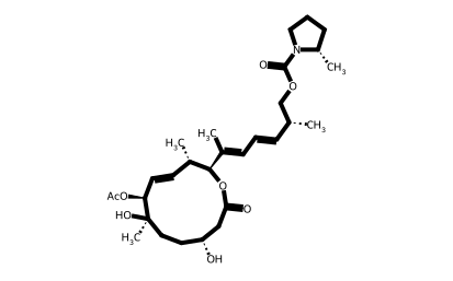 CC(=O)O[C@H]1/C=C/[C@H](C)[C@@H](/C(C)=C/C=C/[C@@H](C)COC(=O)N2CCC[C@@H]2C)OC(=O)C[C@H](O)CC[C@@]1(C)O